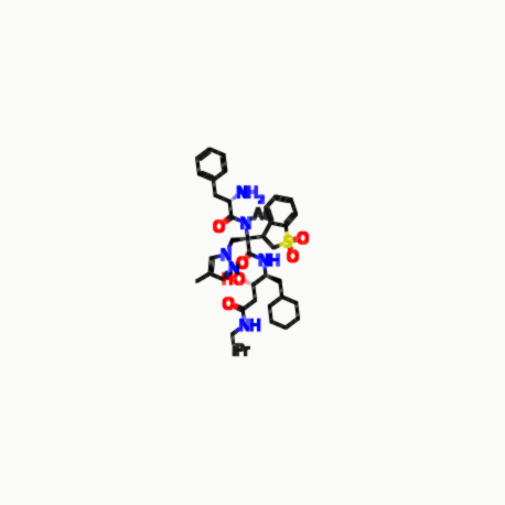 CC(=O)N(C(=O)[C@@H](N)Cc1ccccc1)[C@@](Cn1cc(C)cn1)(C(=O)N[C@@H](CC1CCCCC1)[C@@H](O)CC(=O)NCC(C)C)C1CS(=O)(=O)c2ccccc21